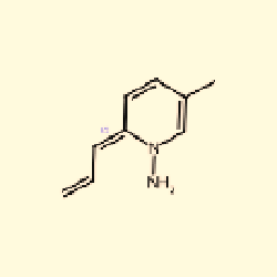 C=C/C=C1/C=CC(C)=CN1N